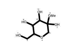 COC1(O)COC(CO)C(O)C1O